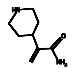 C=C(C(N)=O)C1CCNCC1